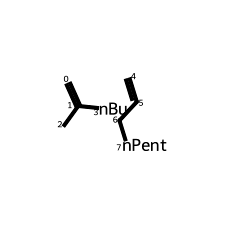 C=C(C)CCCC.C=CCCCCCC